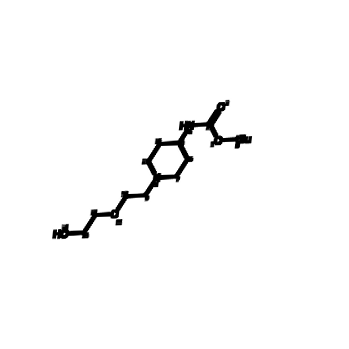 CC(C)(C)OC(=O)NC1CCN(CCOCCO)CC1